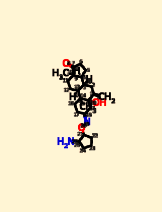 C=C1C[C@H]2[C@@H]3CCC(=O)[C@@]3(C)CC[C@@H]2[C@@]2(C)CCC(=NOC3CCCC3N)C[C@]12O